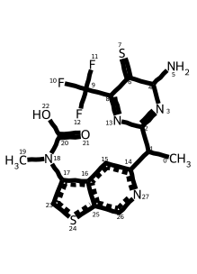 CC(C1=NC(N)C(=S)C(C(F)(F)F)=N1)c1cc2c(N(C)C(=O)O)csc2cn1